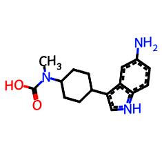 CN(C(=O)O)C1CCC(c2c[nH]c3ccc(N)cc23)CC1